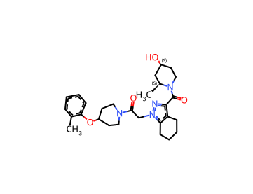 Cc1ccccc1OC1CCN(C(=O)Cn2nc(C(=O)N3CC[C@H](O)C[C@@H]3C)c3c2CCCC3)CC1